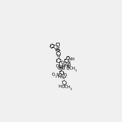 CC(C)c1ccccc1[C@H]1CCCN1C1CC2(CCN(c3ccc(C(=O)NS(=O)(=O)c4cc5c(c([N+](=O)[O-])c4)N[C@@H](C4CCC(C)(O)CC4)CO5)c(Oc4cc5cc[nH]c5nc4NS(C)(=O)=O)c3)CC2)C1